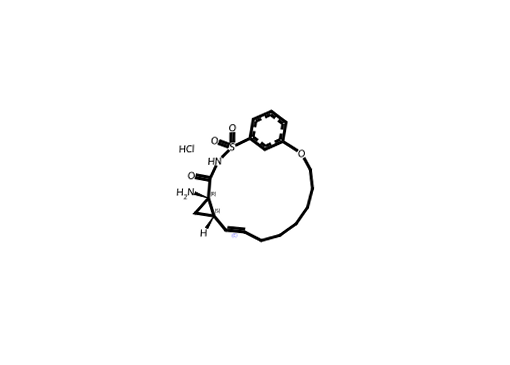 Cl.N[C@]12C[C@H]1/C=C/CCCCCCOc1cccc(c1)S(=O)(=O)NC2=O